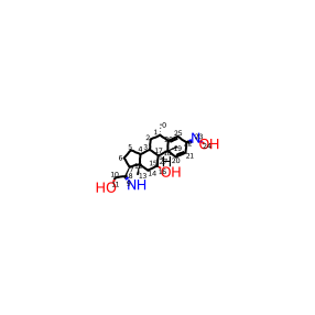 C[C@H]1CC2C3CC[C@H](C(=N)CO)[C@@]3(C)C[C@H](O)[C@@H]2[C@@]2(C)C=C/C(=N\O)C=C12